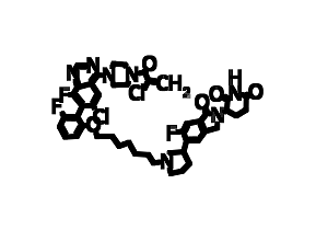 C=C(Cl)C(=O)N1CCN(c2ncnc3c(F)c(-c4c(F)cccc4OCCCCCCCN4CCCC(c5cc6c(cc5F)C(=O)N(C5CCC(=O)NC5=O)C6)C4)c(Cl)cc23)CC1